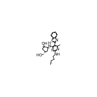 Cc1nc(NCCCF)nc(N[C@@H]2C[C@H](CO)C[C@H]2O)c1-c1nc2ccccc2s1